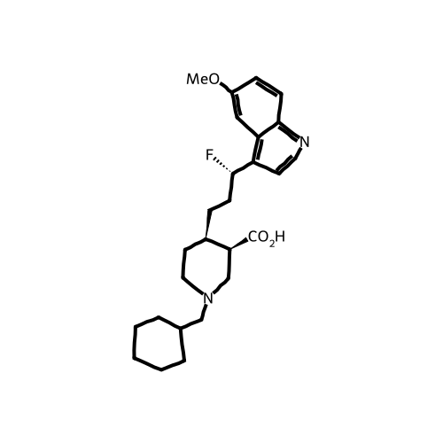 COc1ccc2nccc([C@@H](F)CC[C@@H]3CCN(CC4CCCCC4)C[C@@H]3C(=O)O)c2c1